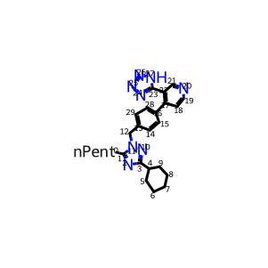 CCCCCc1nc(C2CCCCC2)nn1Cc1ccc(-c2ccncc2-c2nnn[nH]2)cc1